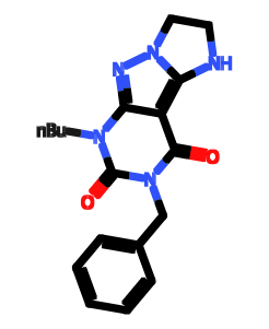 CCCCn1c(=O)n(Cc2ccccc2)c(=O)c2c3n(nc21)CCN3